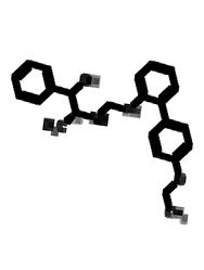 CCOc1ccc(-c2ccccc2PCN[C@@H](C)C(O)c2ccccc2)cc1